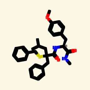 CNC(=O)[C@H](Cc1ccc(OC)cc1)NC(=O)C(Cc1ccccc1)(CC(C)C)SCc1ccccc1